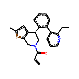 C=CC(=O)N1Cc2sc(C)cc2[C@@H](c2ccccc2-c2cccnc2CC)C1